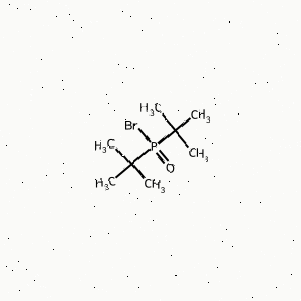 CC(C)(C)P(=O)(Br)C(C)(C)C